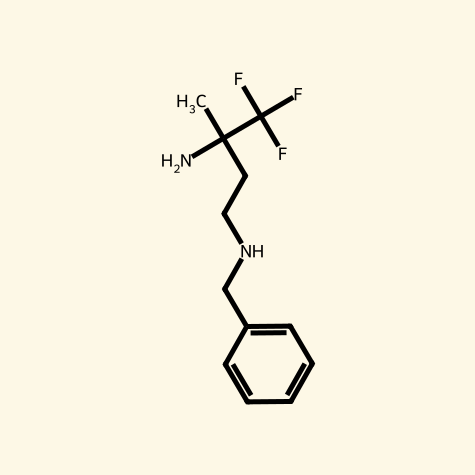 CC(N)(CCNCc1ccccc1)C(F)(F)F